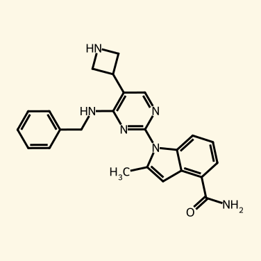 Cc1cc2c(C(N)=O)cccc2n1-c1ncc(C2CNC2)c(NCc2ccccc2)n1